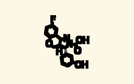 O=C(O)N1N=C2c3cc(F)ccc3OC[C@H]2[C@H]1c1cccc(O)c1